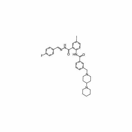 O=C(Nc1ccc(I)cc1C(=O)N/N=C/c1ccc(F)cc1)c1cccc(CN2CCC(N3CCCCC3)CC2)c1